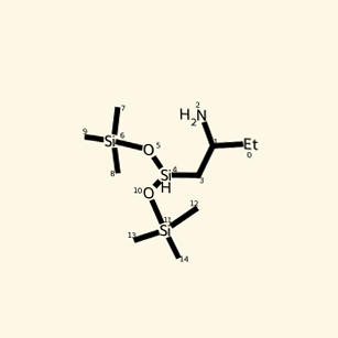 CCC(N)C[SiH](O[Si](C)(C)C)O[Si](C)(C)C